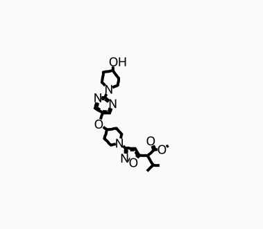 COC(=O)C(c1cc(N2CCC(Oc3cnc(N4CCC(O)CC4)nc3)CC2)no1)C(C)C